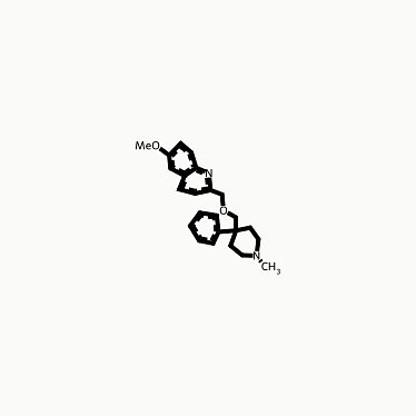 COc1ccc2nc(COCC3(c4ccccc4)CCN(C)CC3)ccc2c1